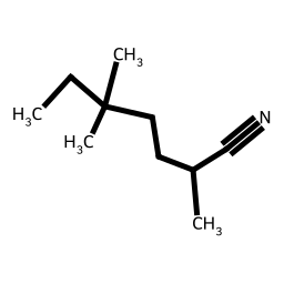 CCC(C)(C)CCC(C)C#N